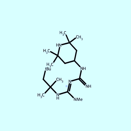 CN/C(=N\C(=N)NC1CC(C)(C)NC(C)(C)C1)NC(C)(C)CC(C)(C)C